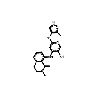 Cc1n[nH]cc1Nc1cc(Nc2cccc3c2C(=O)N(C)CC3)c(C#N)cn1